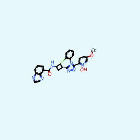 CCOc1ccc(-c2nnc([C@H]3C[C@H](NC(=O)c4cccc5nccnc45)C3)n2-c2ccccc2F)[n+](O)c1